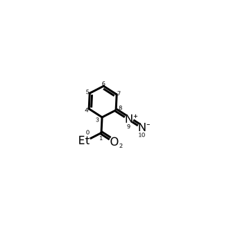 CCC(=O)C1C=CC=CC1=[N+]=[N-]